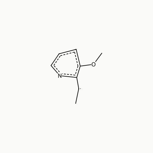 C[CH]c1ncccc1OC